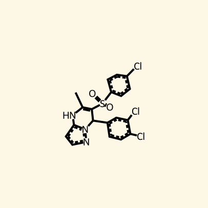 CC1=C(S(=O)(=O)c2ccc(Cl)cc2)C(c2ccc(Cl)c(Cl)c2)n2nccc2N1